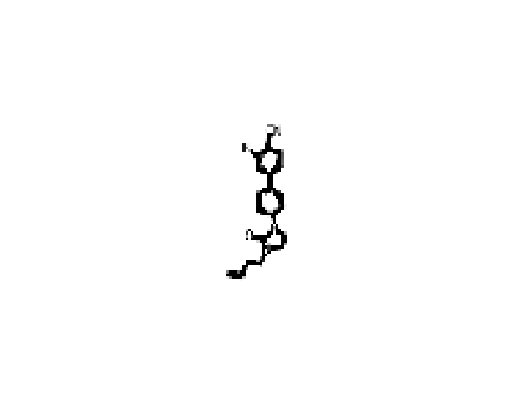 C=CCCN1CCN(c2ccc(-c3ccc(C#N)c(F)c3)cc2)C1=O